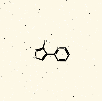 Cc1n[nH]cc1-c1ccc[c]n1